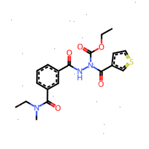 CCOC(=O)N(NC(=O)c1cccc(C(=O)N(C)CC)c1)C(=O)c1ccsc1